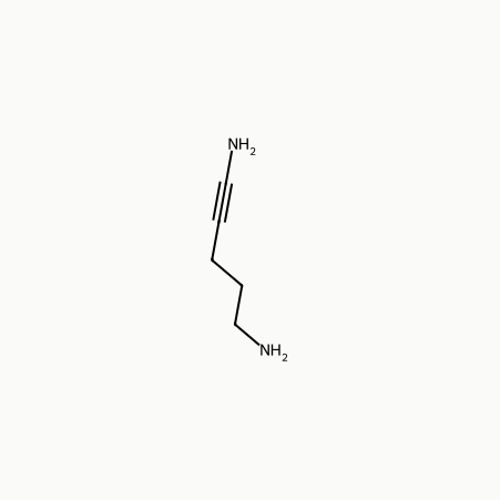 NC#CCCCN